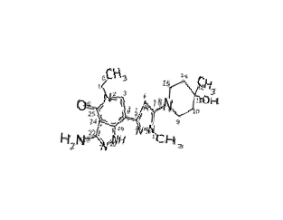 CCn1cc(-c2cc(N3CCC(C)(O)CC3)n(C)n2)c2[nH]nc(N)c2c1=O